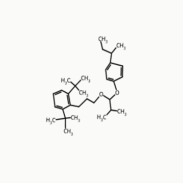 CCC(C)c1ccc(OC(OCCCc2c(C(C)(C)C)cccc2C(C)(C)C)C(C)C)cc1